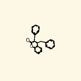 O=c1oc2ccccc2c(Cc2ccccc2)c1-c1ccccc1